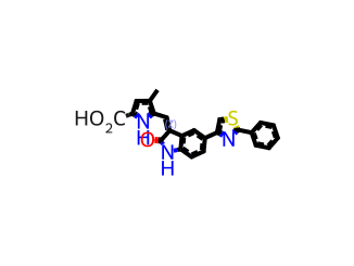 Cc1cc(C(=O)O)[nH]c1/C=C1\C(=O)Nc2ccc(-c3csc(-c4ccccc4)n3)cc21